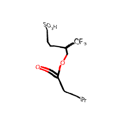 CC(C)CC(=O)OC(CS(=O)(=O)O)C(F)(F)F